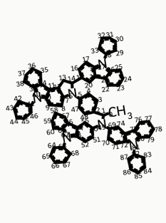 CC(c1ccc(N2c3ccc4c(c3CC2c2ccc3c(c2)c2ccccc2n3-c2ccccc2)c2ccccc2n4-c2ccccc2)cc1)N(c1ccc2c(c1)c1ccccc1n2-c1ccccc1)c1ccc2c(c1)c1ccccc1n2-c1ccccc1